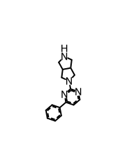 c1ccc(-c2ccnc(N3CC4CNCC4C3)n2)cc1